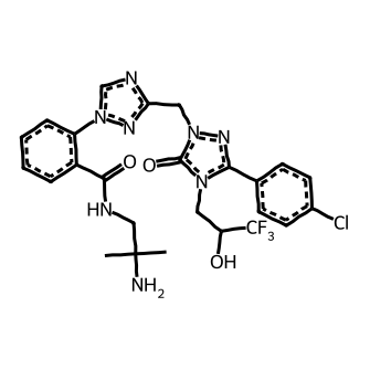 CC(C)(N)CNC(=O)c1ccccc1-n1cnc(Cn2nc(-c3ccc(Cl)cc3)n(CC(O)C(F)(F)F)c2=O)n1